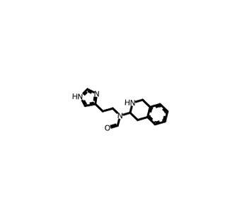 O=CN(CCc1c[nH]cn1)C1Cc2ccccc2CN1